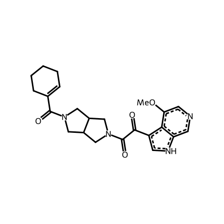 COc1cncc2[nH]cc(C(=O)C(=O)N3CC4CN(C(=O)C5=CCCCC5)CC4C3)c12